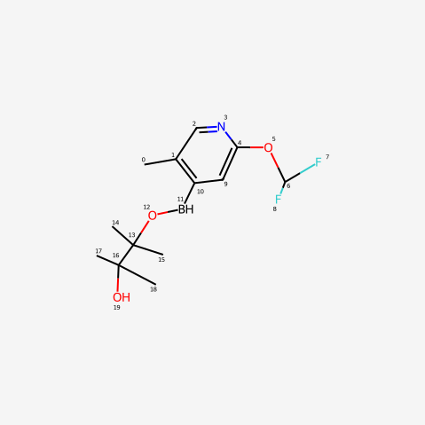 Cc1cnc(OC(F)F)cc1BOC(C)(C)C(C)(C)O